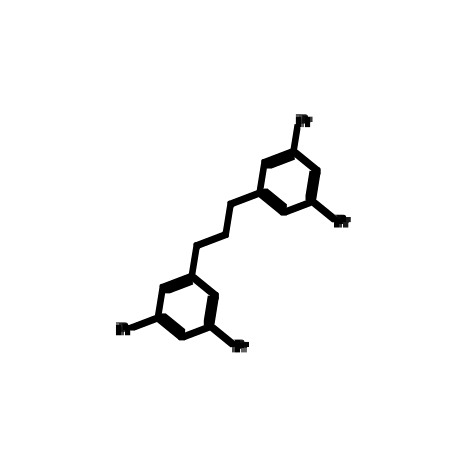 CC(C)c1cc(CCCc2cc(C(C)C)cc(C(C)C)c2)cc(C(C)C)c1